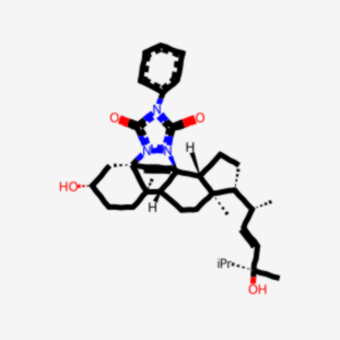 CC(C)[C@](C)(O)/C=C/[C@@H](C)[C@H]1CC[C@@H]2[C@]1(C)CC[C@H]1[C@]23C=C[C@]2(C[C@@H](O)CC[C@]12C)n1c(=O)n(-c2ccccc2)c(=O)n13